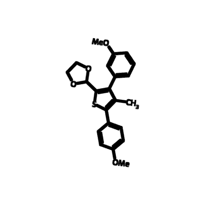 COc1ccc(-c2sc(C3OCCO3)c(-c3cccc(OC)c3)c2C)cc1